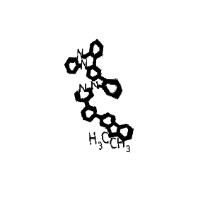 CC1(C)c2ccccc2-c2ccc(-c3cccc(-c4ccnc(-n5c6ccccc6c6cc7c8ccccc8c8nc9ccccc9n8c7cc65)c4)c3)cc21